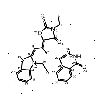 CCN1C(=O)C(=C(C)C=C2Sc3ccccc3N2CC)OC1=S.O=c1[nH]ncc2ccccc12